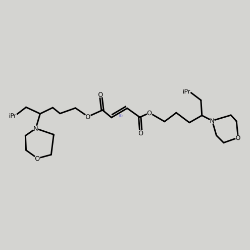 CC(C)CC(CCCOC(=O)/C=C/C(=O)OCCCC(CC(C)C)N1CCOCC1)N1CCOCC1